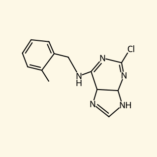 Cc1ccccc1CNC1=NC(Cl)=NC2NC=NC12